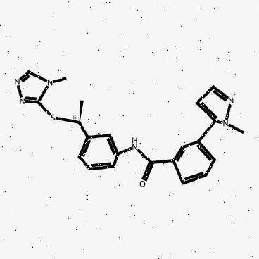 C[C@H](Sc1nncn1C)c1cccc(NC(=O)c2cccc(-c3ccnn3C)c2)c1